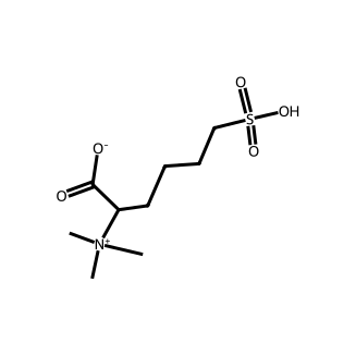 C[N+](C)(C)C(CCCCS(=O)(=O)O)C(=O)[O-]